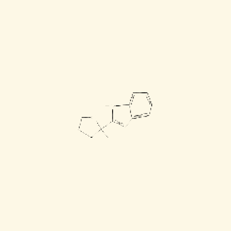 CC1(c2cc3ccccc3[nH]2)CCCO1